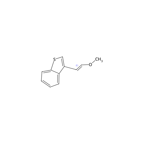 CO/C=C/c1csc2ccccc12